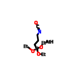 CCO[Si](CCCN=C=O)(OCC)OCC.[AtH]